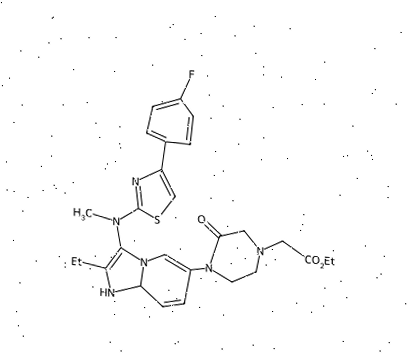 CCOC(=O)CN1CCN(C2=CN3C(N(C)c4nc(-c5ccc(F)cc5)cs4)=C(CC)NC3C=C2)C(=O)C1